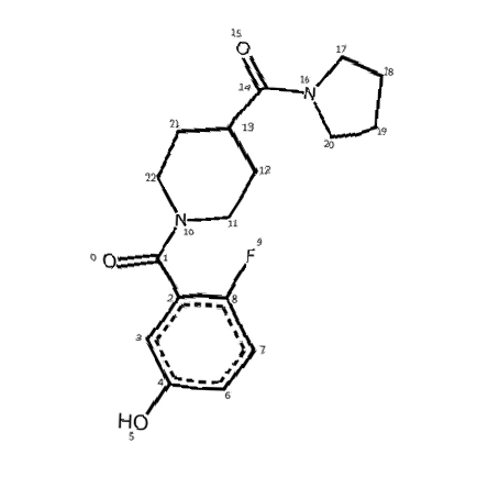 O=C(c1cc(O)ccc1F)N1CCC(C(=O)N2CCCC2)CC1